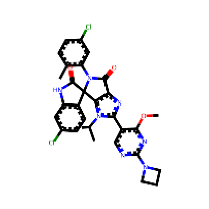 COc1nc(N2CCC2)ncc1-c1nc2c(n1C(C)C)C1(C(=O)Nc3cc(Cl)ccc31)N(c1cc(Cl)ccc1C)C2=O